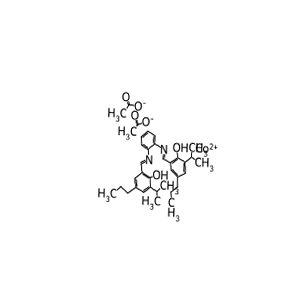 CC(=O)[O-].CC(=O)[O-].CCCc1cc(C=Nc2ccccc2N=Cc2cc(CCC)cc(C(C)C)c2O)c(O)c(C(C)C)c1.[Co+2]